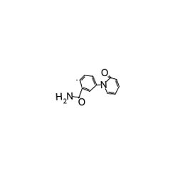 NC(=O)c1[c]ccc(-n2ccccc2=O)c1